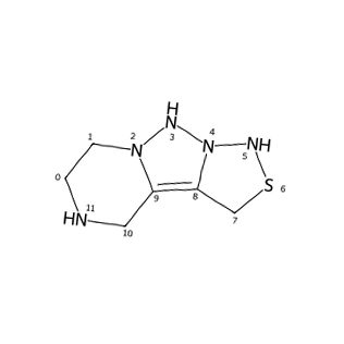 C1CN2NN3NSCC3=C2CN1